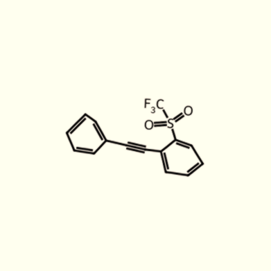 O=S(=O)(c1ccccc1C#Cc1ccccc1)C(F)(F)F